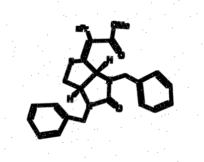 CCCC(C(=O)OC)=C1SC[C@@H]2[C@H]1N(Cc1ccccc1)C(=O)N2Cc1ccccc1